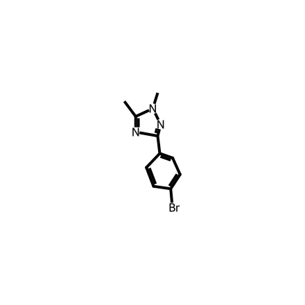 Cc1nc(-c2ccc(Br)cc2)nn1C